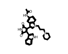 CC(=O)Nc1ccc2c(c1)c(C1=C(c3c[nH]c4ccccc34)C(=O)NC1=O)cn2CCCN1CCCCC1